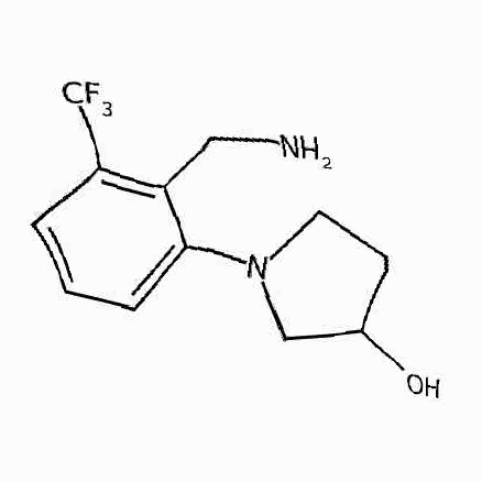 NCc1c(N2CCC(O)C2)cccc1C(F)(F)F